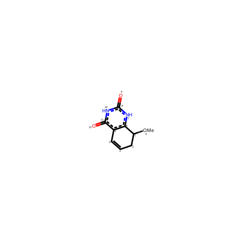 COC1CC=Cc2c1[nH]c(=O)[nH]c2=O